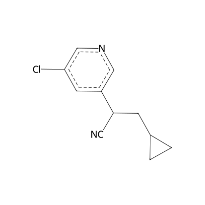 N#CC(CC1CC1)c1cncc(Cl)c1